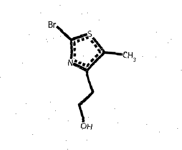 Cc1sc(Br)nc1CCO